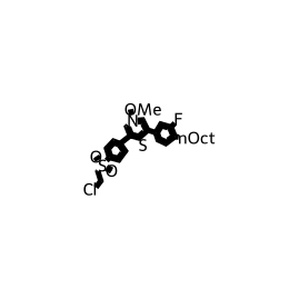 CCCCCCCCc1ccc(-c2cn(OC)cc(-c3ccc(S(=O)(=O)CCCl)cc3)c2=S)cc1F